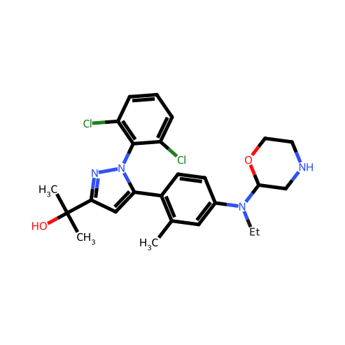 CCN(c1ccc(-c2cc(C(C)(C)O)nn2-c2c(Cl)cccc2Cl)c(C)c1)C1CNCCO1